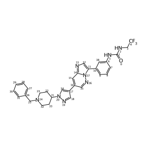 O=C(NCC(F)(F)F)Nc1cccc(-c2cnc3cc(-c4cnn(C5CCN(Cc6ccccc6)CC5)c4)cnn23)c1